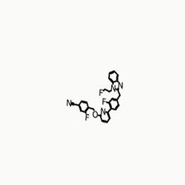 N#Cc1ccc(COc2cccc(-c3ccc(Cc4nc5ccccc5n4CCF)cc3F)n2)c(F)c1